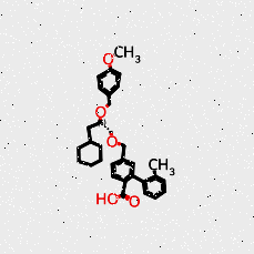 COc1ccc(CO[C@H](COCc2ccc(C(=O)O)c(-c3ccccc3C)c2)CC2CCCCC2)cc1